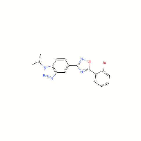 CC(C)n1nnc2cc(-c3noc(-c4ccccc4Br)n3)ccc21